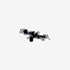 CCC(C)[C@H](NC(=O)/C=N/O[C@@H]1OC(C)[C@H](O)C(O)C1O)C(=O)NC(Cc1c[nH]c2ccccc12)C(=O)N[C@H](C(=O)N[C@@H](CCCNC(=N)N)C(N)=O)C(C)C